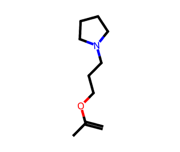 C=C(C)OCCCN1CCCC1